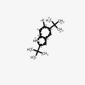 CC(C)(C)c1cc2cc(C(C)(C)C)c(F)cc2[nH]1